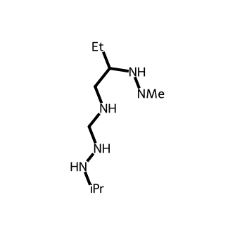 CCC(CNCNNC(C)C)NNC